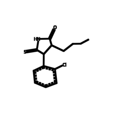 CCCCC1C(=O)NC(=S)C1c1ccccc1Cl